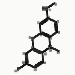 CBc1ccc2c(c1)Sc1cc(F)ccc1N2C